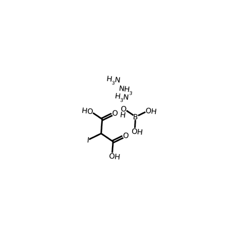 N.N.N.O=C(O)C(I)C(=O)O.OB(O)O